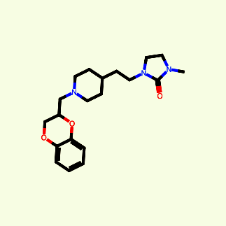 CN1CCN(CCC2CCN(CC3COc4ccccc4O3)CC2)C1=O